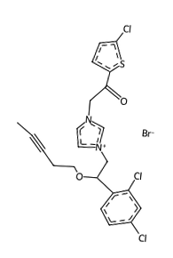 CC#CCCOC(C[n+]1ccn(CC(=O)c2ccc(Cl)s2)c1)c1ccc(Cl)cc1Cl.[Br-]